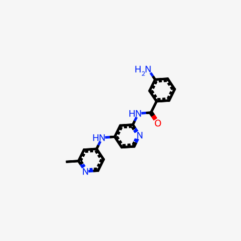 Cc1cc(Nc2ccnc(NC(=O)c3cccc(N)c3)c2)ccn1